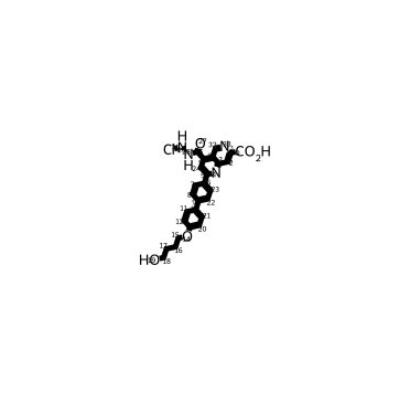 O=C(O)c1cc2nc(-c3ccc(-c4ccc(OCCCCO)cc4)cc3)cc(C(=O)NNCl)c2cn1